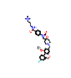 CCOc1cc(CN2CCC3(CC2)CN(c2ccc(C(=O)NCCC[N+](C)(C)C)cc2)C(=O)O3)cc(OCC)c1-c1ccc(F)cc1